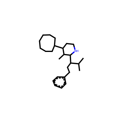 CC(C)C(CCc1ccccc1)C1NCCC(C2CCCCCCC2)C1C